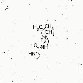 CC(C)(C)Cc1cc(NC(=O)[C@@H]2CCCN2)on1